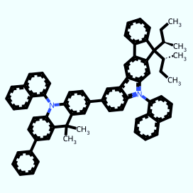 CC[C@@H](C)C1([C@H](C)CC)c2ccccc2-c2cc3c4cc(-c5ccc6c(c5)C(C)(C)c5cc(-c7ccccc7)ccc5N6c5cccc6ccccc56)ccc4n(-c4cccc5ccccc45)c3cc21